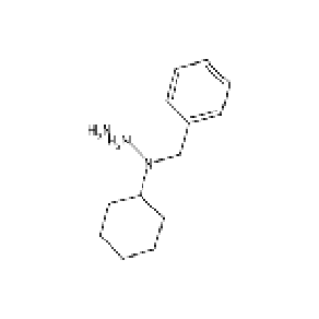 N.NN(Cc1ccccc1)C1CCCCC1